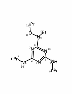 CCCNc1nc(NCCC)nc(N(CC)OC(C)C)n1